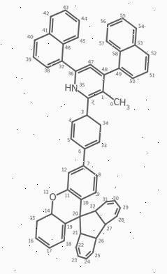 CC1=C(C2C=CC(c3ccc4c(c3)OC3CC=CC=C3C43C4C=CC=CC4C4C=CC=CC43)=CC2)NC(c2cccc3ccccc23)=C=C1c1cccc2ccccc12